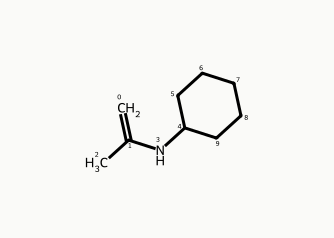 C=C(C)NC1CCCCC1